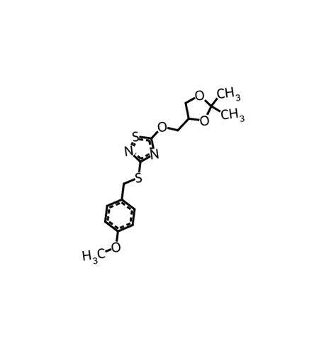 COc1ccc(CSc2nsc(OCC3COC(C)(C)O3)n2)cc1